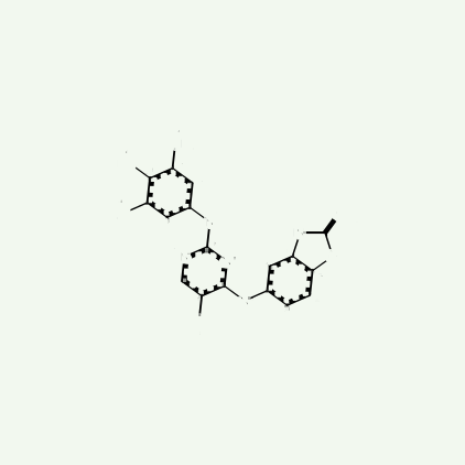 C=C1Nc2cc(Nc3nc(Nc4cc(C)c(C)c(C)c4)ncc3C)ccc2O1